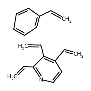 C=Cc1ccccc1.C=Cc1ccnc(C=C)c1C=C